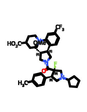 COC[C@H]1CN(C(=O)[C@]2(F)CN(C3CCCC3)C[C@H]2c2ccc(C)cc2)C[C@@H]1c1ccc(C(F)(F)F)cc1N1CCC(C(=O)O)CC1